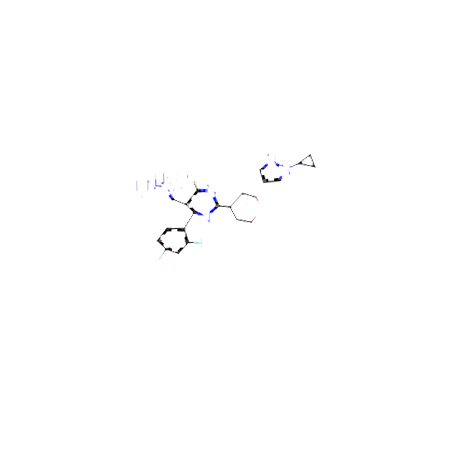 N/N=C/c1c(C(=O)O)nc(C2CCO[C@@H](c3cnn(C4CC4)c3)C2)nc1-c1ccc(F)cc1F